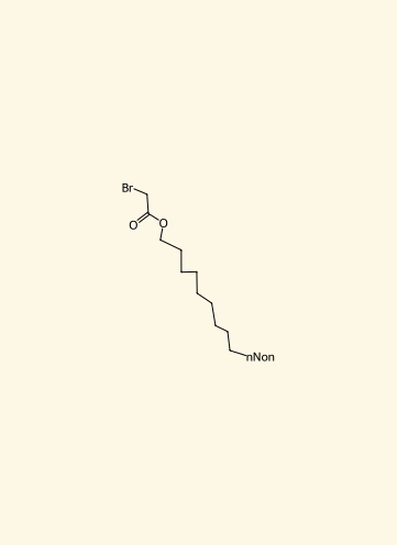 CCCCCCCCCCCCCCCCCCOC(=O)CBr